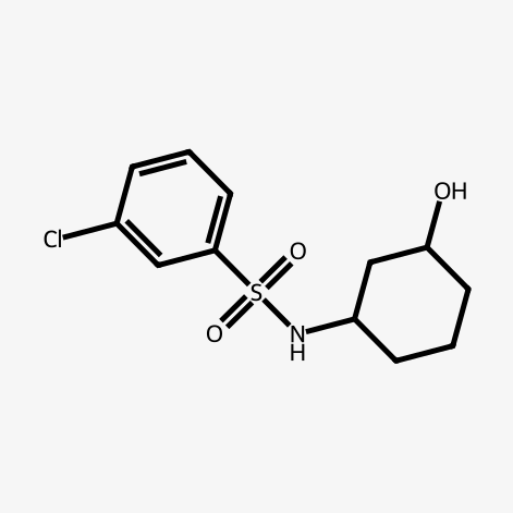 O=S(=O)(NC1CCCC(O)C1)c1cccc(Cl)c1